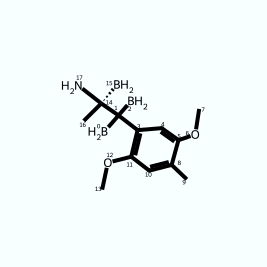 BC(B)(c1cc(OC)c(C)cc1OC)[C@@](B)(C)N